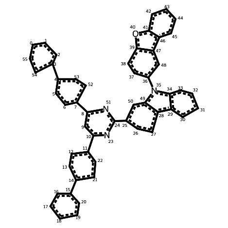 c1ccc(-c2ccc(-c3cc(-c4ccc(-c5ccccc5)cc4)nc(-c4ccc5c6ccccc6n(-c6ccc7oc8ccccc8c7c6)c5c4)n3)cc2)cc1